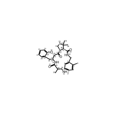 Cc1ccccc1CNC(=O)[C@H]1N(C(=O)[C@@H](O)[C@H](Cc2ccccc2)NC(=O)C(C)CN)CSC1(C)C